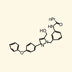 CCCC(=O)Nc1cccc(Cn2nc(-c3ccc(Oc4ccccc4)cc3)cc2CO)c1